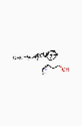 CC/C=C\CCO.CC1=CCC2CC1C2(C)C.CCC/C=C/C=O